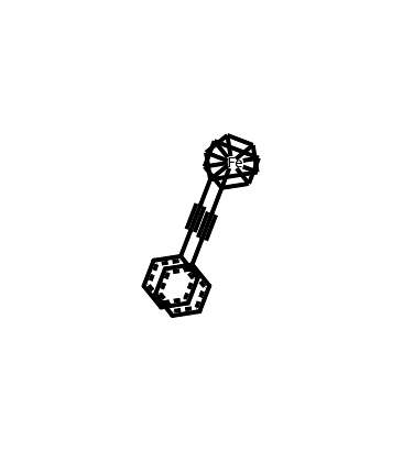 C(#C[C]12[CH]3[CH]4[CH]5[CH]1[Fe]45321678[CH]2[CH]1[CH]6[C]7(C#Cc1ccccc1)[CH]28)c1ccccc1